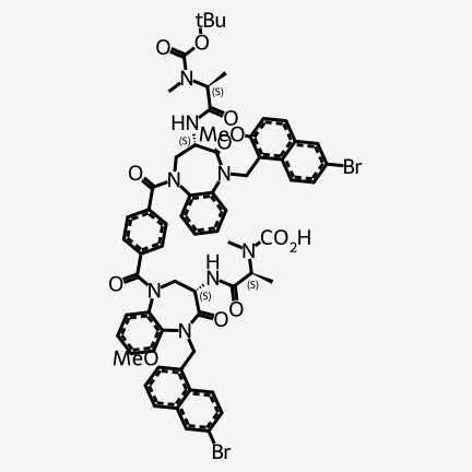 COc1ccc2cc(Br)ccc2c1CN1C(=O)[C@@H](NC(=O)[C@H](C)N(C)C(=O)O)CN(C(=O)c2ccc(C(=O)N3C[C@H](NC(=O)[C@H](C)N(C)C(=O)OC(C)(C)C)C(=O)N(Cc4c(OC)ccc5cc(Br)ccc45)c4ccccc43)cc2)c2ccccc21